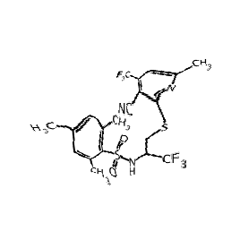 Cc1cc(C)c(S(=O)(=O)NC(CSc2nc(C)cc(C(F)(F)F)c2C#N)C(F)(F)F)c(C)c1